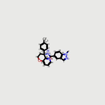 Cn1ncc2cc(C(=O)N[C@]3(c4ccc(C(F)(F)F)cc4)CCOc4cccnc43)ccc21